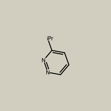 CC(C)c1cccnn1